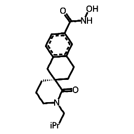 CC(C)CN1CCC[C@]2(CCc3cc(C(=O)NO)ccc3C2)C1=O